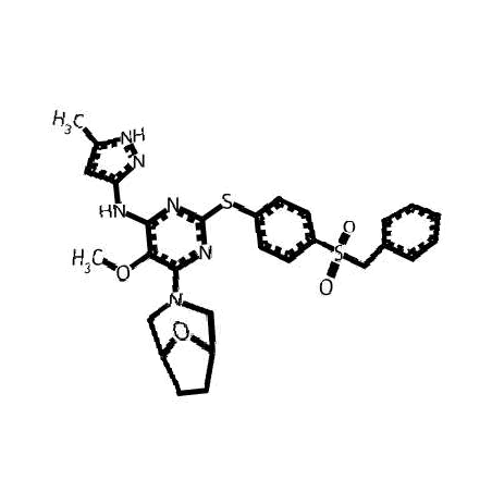 COc1c(Nc2cc(C)[nH]n2)nc(Sc2ccc(S(=O)(=O)Cc3ccccc3)cc2)nc1N1CC2CCC(C1)O2